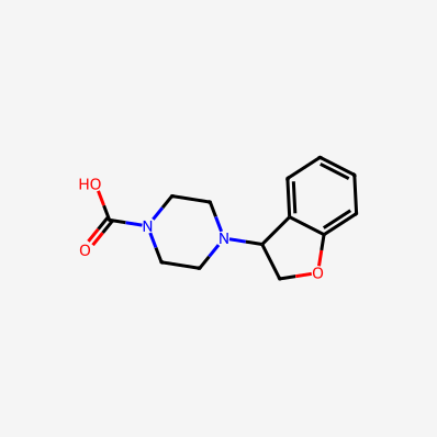 O=C(O)N1CCN(C2COc3ccccc32)CC1